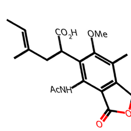 CC=C(C)CC(C(=O)O)c1c(NC(C)=O)c2c(c(C)c1OC)COC2=O